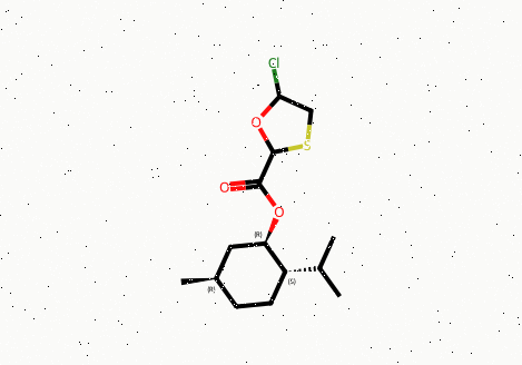 CC(C)[C@@H]1CC[C@@H](C)C[C@H]1OC(=O)C1OC(Cl)CS1